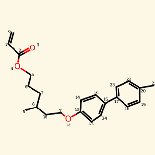 C=CC(=O)OCCC[C@H](C)CCOc1ccc(-c2ccc(C)cc2)cc1